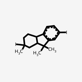 CC1(I)CCC2c3ccc(I)cc3C(C)(C)C2C1